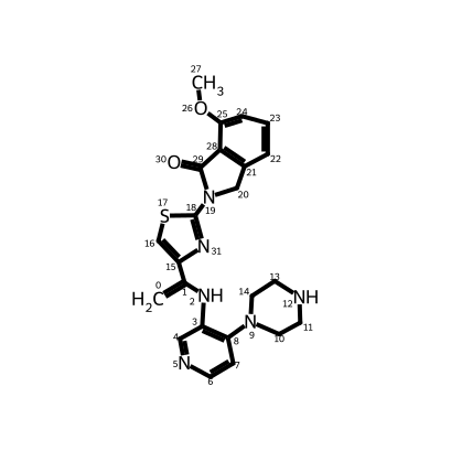 C=C(Nc1cnccc1N1CCNCC1)c1csc(N2Cc3cccc(OC)c3C2=O)n1